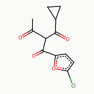 CC(=O)C(C(=O)c1ccc(Cl)o1)C(=O)C1CC1